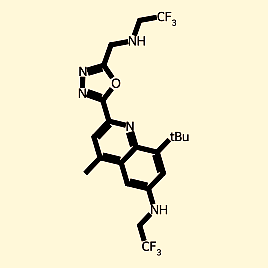 Cc1cc(-c2nnc(CNCC(F)(F)F)o2)nc2c(C(C)(C)C)cc(NCC(F)(F)F)cc12